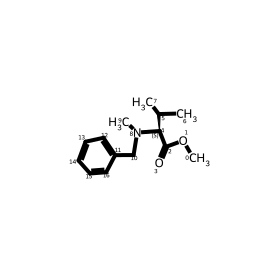 COC(=O)[C@H](C(C)C)N(C)Cc1ccccc1